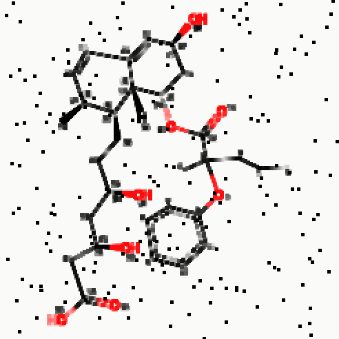 CCCC(C)(Oc1ccccc1)C(=O)O[C@H]1C[C@H](O)C=C2C=C[C@H](C)[C@H](CC[C@@H](O)C[C@@H](O)CC(=O)O)[C@H]21